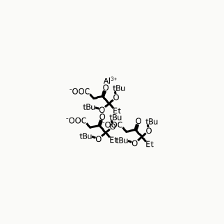 CCC(OC(C)(C)C)(OC(C)(C)C)C(=O)CC(=O)[O-].CCC(OC(C)(C)C)(OC(C)(C)C)C(=O)CC(=O)[O-].CCC(OC(C)(C)C)(OC(C)(C)C)C(=O)CC(=O)[O-].[Al+3]